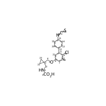 O=C(O)NCC1(COc2cnc(Cl)c(-c3ccc(N=C=S)cc3)c2)CC1